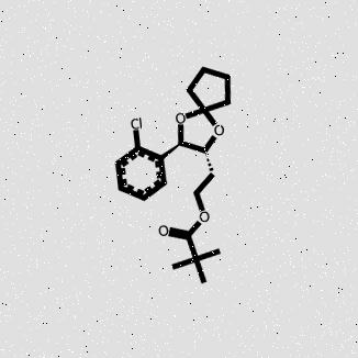 CC(C)(C)C(=O)OCC[C@H]1OC2(CCCC2)O[C@@H]1c1ccccc1Cl